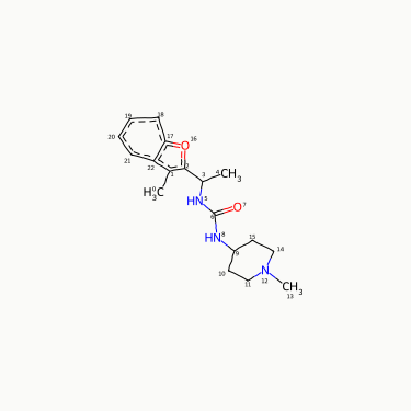 Cc1c(C(C)NC(=O)NC2CCN(C)CC2)oc2ccccc12